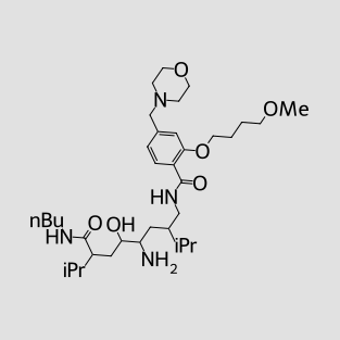 CCCCNC(=O)C(CC(O)C(N)CC(CNC(=O)c1ccc(CN2CCOCC2)cc1OCCCCOC)C(C)C)C(C)C